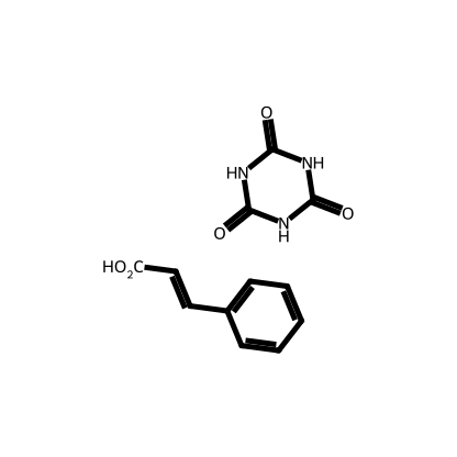 O=C(O)C=Cc1ccccc1.O=c1[nH]c(=O)[nH]c(=O)[nH]1